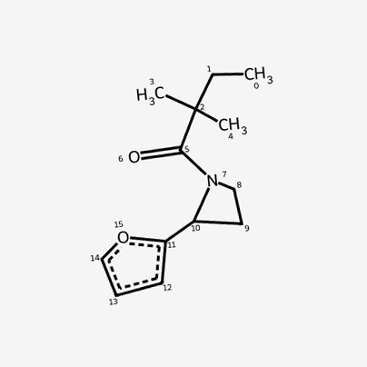 CCC(C)(C)C(=O)N1CCC1c1ccco1